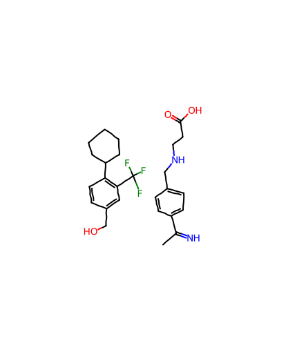 CC(=N)c1ccc(CNCCC(=O)O)cc1.OCc1ccc(C2CCCCC2)c(C(F)(F)F)c1